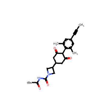 CC#Cc1cc(C)c(C2C(=O)CC(C3CN(C(=O)NC(=O)C(C)(C)C)C3)CC2=O)c(C)c1